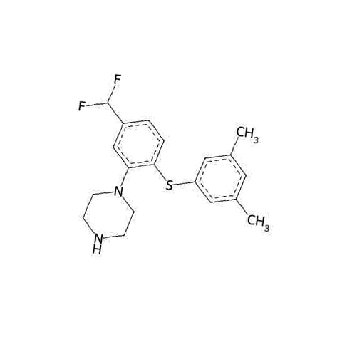 Cc1cc(C)cc(Sc2ccc(C(F)F)cc2N2CCNCC2)c1